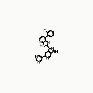 Fc1ccccc1-c1ccnc2[nH]c(-c3n[nH]c4cnc(-c5cncnc5)cc34)nc12